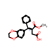 COC(=O)/C(CC(=O)O)=C(\c1ccccc1)c1ccc2c(c1)OCCO2